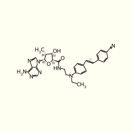 CCN(CCNC(=O)[C@H]1O[C@@H](n2cnc3c(N)ncnc32)[C@H](C)[C@@H]1O)c1ccc(/C=C/c2ccc(C#N)cc2)cc1